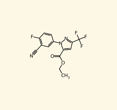 CCOC(=O)c1cc(C(F)(F)F)nn1-c1ccc(F)c(C#N)c1